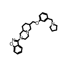 c1cc(CN2CCCC2)cc(OCC2CCC3CN(c4noc5ccccc45)CCN3C2)c1